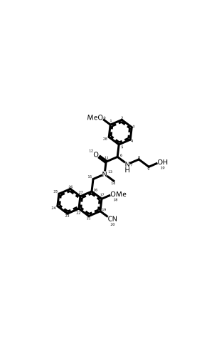 COc1cccc(C(NCCO)C(=O)N(C)Cc2c(OC)c(C#N)cc3ccccc23)c1